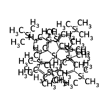 CC1=C(C)C(C)C([Si](c2c([Si](C)(C)C)cc([Si](C)(C)C)cc2[Si](C)(C)C)(c2c([Si](C)(C)C)cc([Si](C)(C)C)cc2[Si](C)(C)C)c2c([Si](C)(C)C)cc([Si](C)(C)C)cc2[Si](C)(C)C)=C1C